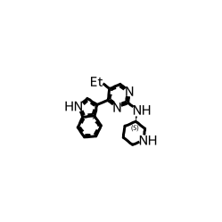 CCc1cnc(N[C@H]2CCCNC2)nc1-c1c[nH]c2ccccc12